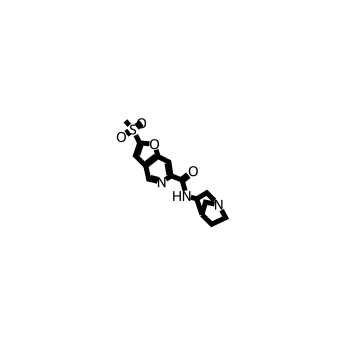 CS(=O)(=O)c1cc2cnc(C(=O)NC3CN4CCC3C4)cc2o1